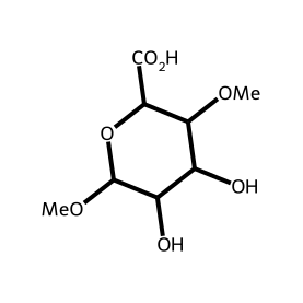 COC1OC(C(=O)O)C(OC)C(O)C1O